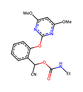 CCNC(=O)OC(C#N)c1ccccc1Oc1nc(OC)cc(OC)n1